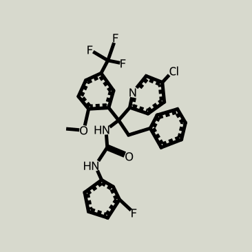 COc1ccc(C(F)(F)F)cc1C(Cc1ccccc1)(NC(=O)Nc1cccc(F)c1)c1ccc(Cl)cn1